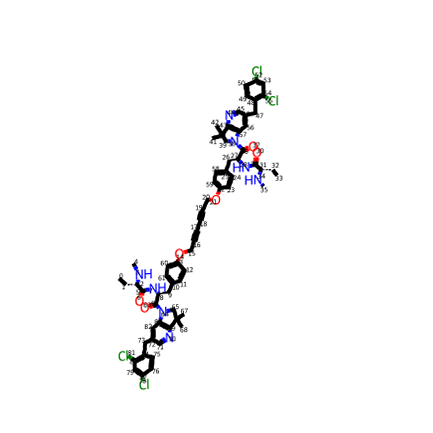 CC[C@H](NC)C(=O)N[C@@H](Cc1ccc(OCC#CC#CCOc2ccc(C[C@H](NC(=O)[C@H](CC)NC)C(=O)N3CC(C)(C)c4ncc(Cc5ccc(Cl)cc5Cl)cc43)cc2)cc1)C(=O)N1CC(C)(C)c2ncc(Cc3ccc(Cl)cc3Cl)cc21